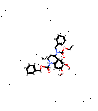 CCOC(=O)N(Cc1ccccc1)C1CC(C)N(C(=O)OCc2ccccc2)c2cc(OC)c(OC)cc21